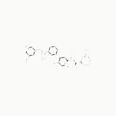 O=C(Nc1cc(-c2cccc(NCc3cncc(F)c3)c2)c(Cl)cn1)[C@@H]1CCCNC1